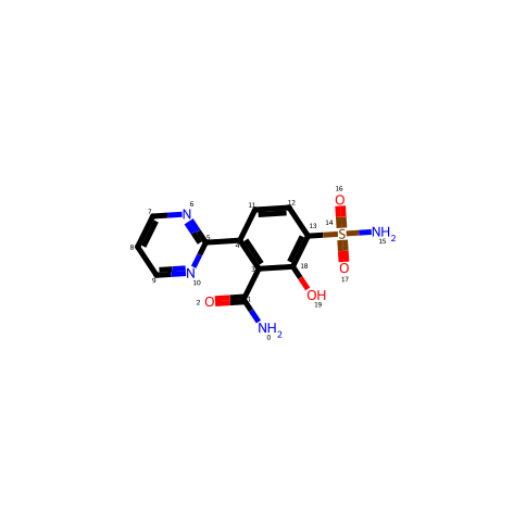 NC(=O)c1c(-c2ncccn2)ccc(S(N)(=O)=O)c1O